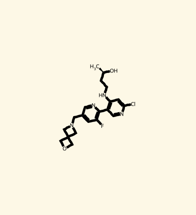 C[C@@H](O)CCNc1cc(Cl)ncc1-c1ncc(CN2CC3(COC3)C2)cc1F